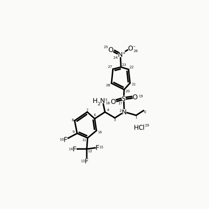 CCN(CC(N)c1ccc(F)c(C(F)(F)F)c1)S(=O)(=O)c1ccc([N+](=O)[O-])cc1.Cl